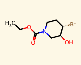 CCOC(=O)N1CC[C@H](Br)[C@@H](O)C1